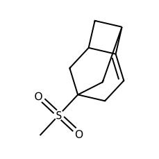 CS(=O)(=O)C12CC=C3C(CC3C1)C2